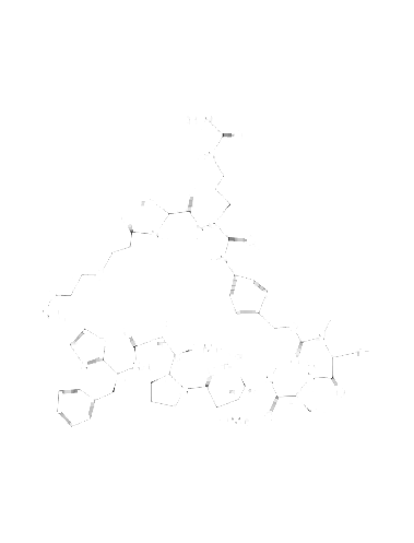 CC[C@H](C)[C@@H]([C@@H](CC(=O)N1CCC[C@H]1[C@H](OC)[C@@H](C)C(=O)N[C@@H](Cc1ccccc1)c1nccs1)OC)N(C)C(=O)[C@@H](NC(=O)C(C(C)C)N(C)C(=O)OCc1ccc(NC(=O)[C@H](CCCNC(N)=O)NC(=O)C(NC(=O)CCOCCON)C(C)C)cc1)C(C)C